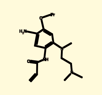 C=CC(=O)Nc1cc(N)c(OC(C)C)cc1N(C)CCN(C)C